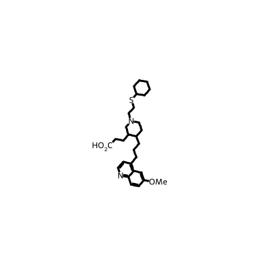 COc1ccc2nccc(CCCC3CCN(CCSC4CCCCC4)CC3CCC(=O)O)c2c1